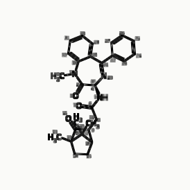 CN1C(=O)[C@H](NC(=O)CC2C(=O)C3(C)CCC2C3(C)C)N=C(c2ccccc2)c2ccccc21